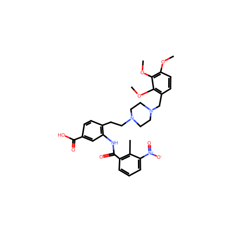 COc1ccc(CN2CCN(CCc3ccc(C(=O)O)cc3NC(=O)c3cccc([N+](=O)[O-])c3C)CC2)c(OC)c1OC